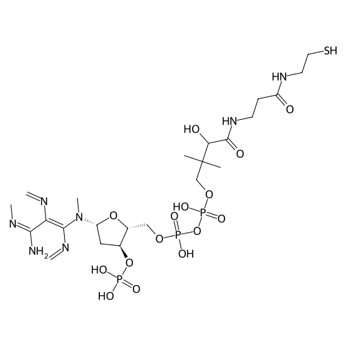 C=NC(=C(/N=C)N(C)[C@H]1C[C@H](OP(=O)(O)O)[C@@H](COP(=O)(O)OP(=O)(O)OCC(C)(C)C(O)C(=O)NCCC(=O)NCCS)O1)/C(N)=N\C